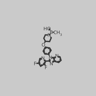 CB(O)N1CCC(Oc2ccc(-n3c(-c4ncc(F)cc4F)nc4cccnc43)cc2)CC1